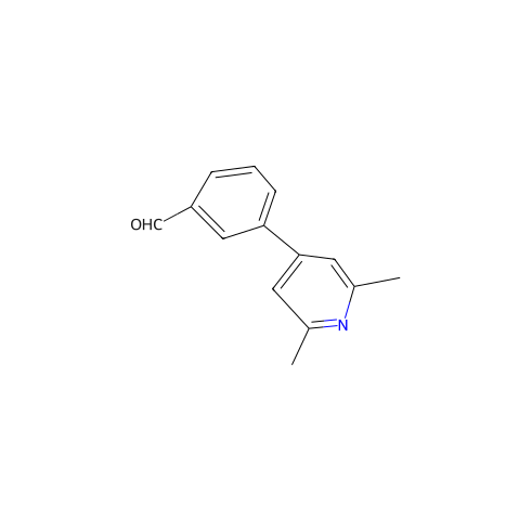 Cc1cc(-c2cccc(C=O)c2)cc(C)n1